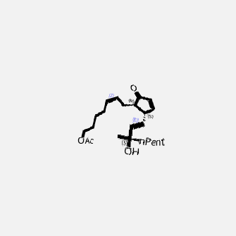 CCCCC[C@](C)(O)/C=C/[C@H]1C=CC(=O)[C@@H]1C/C=C\CCCCOC(C)=O